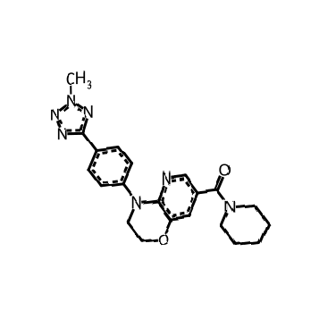 Cn1nnc(-c2ccc(N3CCOc4cc(C(=O)N5CCCCC5)cnc43)cc2)n1